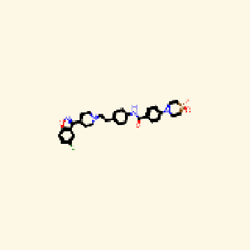 O=C(NC1CCC(CCN2CCC(c3noc4ccc(F)cc34)CC2)CC1)c1ccc(N2CCS(=O)(=O)CC2)cc1